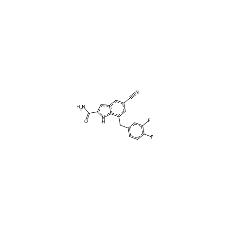 N#Cc1cc(Cc2ccc(F)c(F)c2)c2[nH]c(C(N)=O)cc2c1